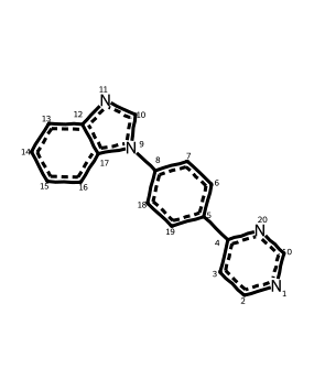 [c]1nccc(-c2ccc(-n3cnc4ccccc43)cc2)n1